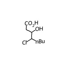 CCCCC(Cl)C(O)CC(=O)O